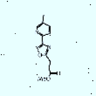 COC(=O)CCc1nc(-c2ccc(C)cn2)no1